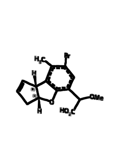 COC(C(=O)O)c1cc(Br)c(C)c2c1O[C@@H]1CC=C[C@H]21